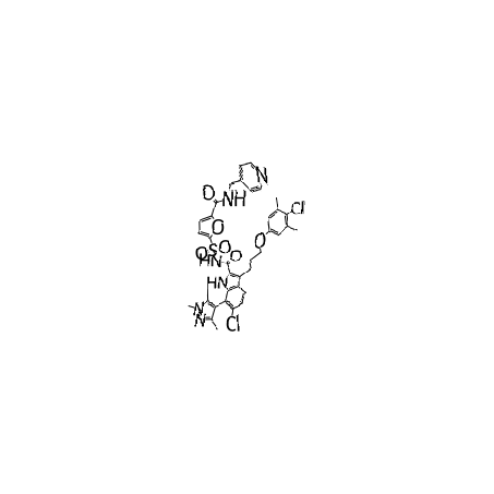 Cc1cc(OCCCc2c(C(=O)NS(=O)(=O)c3ccc(C(=O)NCc4ccncc4)o3)[nH]c3c(-c4c(C)nn(C)c4C)c(Cl)ccc23)cc(C)c1Cl